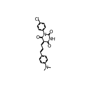 CN(C)c1ccc(/C=C/C=C2\C(=O)NC(=O)N(c3ccc(Cl)cc3)C2=O)cc1